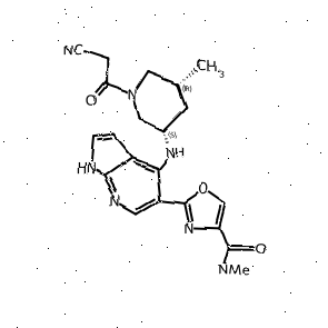 CNC(=O)c1coc(-c2cnc3[nH]ccc3c2N[C@H]2C[C@@H](C)CN(C(=O)CC#N)C2)n1